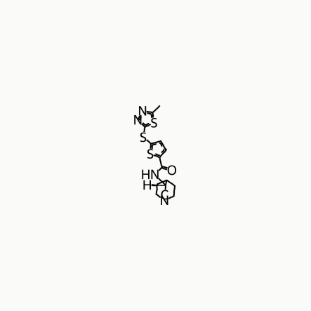 Cc1nnc(Sc2ccc(C(=O)N[C@H]3CN4CCC3CC4)s2)s1